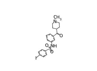 CN1CCC(C(=O)c2cccc(NS(=O)(=O)c3ccc(I)cc3)c2)CC1